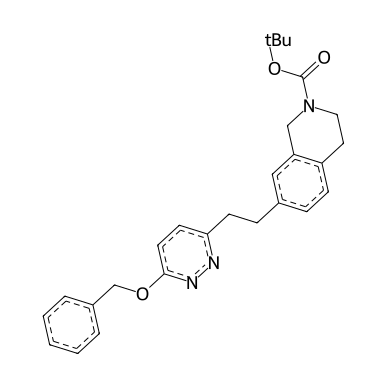 CC(C)(C)OC(=O)N1CCc2ccc(CCc3ccc(OCc4ccccc4)nn3)cc2C1